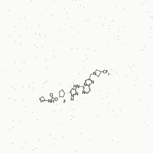 O=C(NC12CC(C1)C2)O[C@@H]1CC[C@H](c2cc(Nc3nccc4nc(CN5CC(C(F)(F)F)C5)cn34)n[nH]2)[C@@H]1F